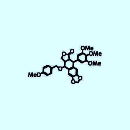 COc1ccc(COC2c3cc4c(cc3C(c3cc(OC)c(OC)c(OC)c3)C3C(=O)OCC23)OCO4)cc1